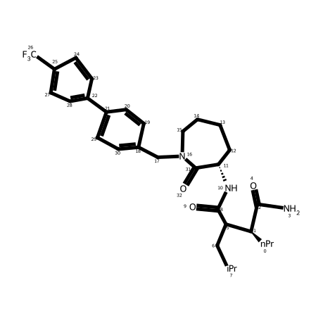 CCC[C@H](C(N)=O)C(CC(C)C)C(=O)N[C@H]1CCCCN(Cc2ccc(-c3ccc(C(F)(F)F)cc3)cc2)C1=O